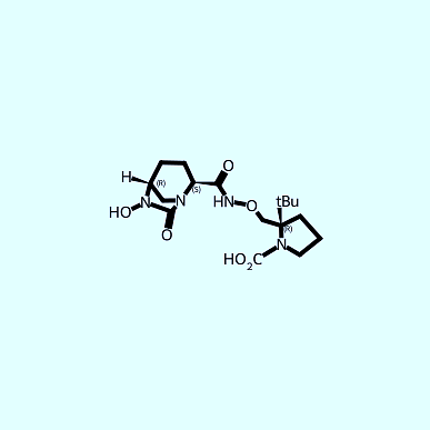 CC(C)(C)[C@@]1(CONC(=O)[C@@H]2CC[C@@H]3CN2C(=O)N3O)CCCN1C(=O)O